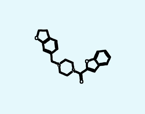 O=C(c1cc2ccccc2o1)N1CCN(Cc2ccc3c(c2)OCC3)CC1